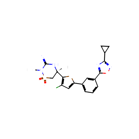 CN1C(=N)N[C@](C)(c2sc(-c3cccc(-c4nc(C5CC5)no4)c3)cc2F)CS1(=O)=O